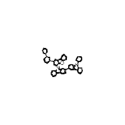 c1ccc(-c2cccc(-c3cc(-n4c5ccccc5c5ccc(-c6ccc7c(c6)c6ccccc6n7-c6ccccc6)cc54)c4oc5ccccc5c4c3)c2)cc1